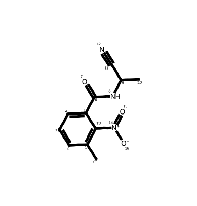 Cc1cccc(C(=O)NC(C)C#N)c1[N+](=O)[O-]